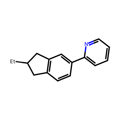 CCC1Cc2ccc(-c3ccccn3)cc2C1